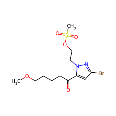 COCCCCC(=O)c1cc(Br)nn1CCOS(C)(=O)=O